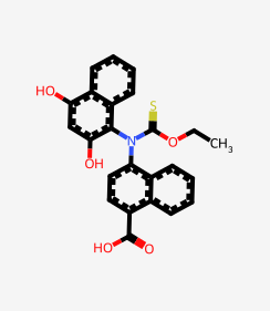 CCOC(=S)N(c1ccc(C(=O)O)c2ccccc12)c1c(O)cc(O)c2ccccc12